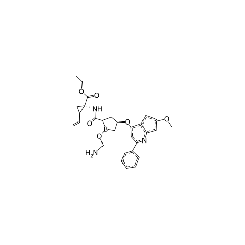 C=CC1C[C@@]1(NC(=O)C1C[C@@H](Oc2cc(-c3ccccc3)nc3cc(OC)ccc23)CB1OCN)C(=O)OCC